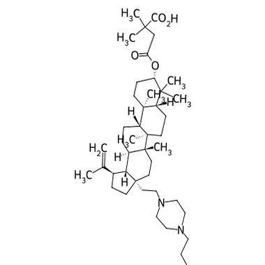 C=C(C)[C@@H]1CC[C@]2(CCN3CCN(CCO)CC3)CC[C@]3(C)[C@H](CC[C@@H]4[C@@]5(C)CC[C@H](OC(=O)CC(C)(C)C(=O)O)C(C)(C)[C@@H]5CC[C@]43C)[C@@H]12